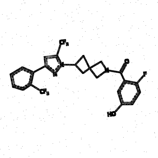 O=C(c1cc(O)ccc1F)N1CC2(CC(n3nc(-c4ccccc4C(F)(F)F)cc3C(F)(F)F)C2)C1